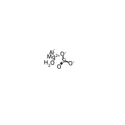 O.O=[Si]([O-])[O-].[Al].[Mg+2]